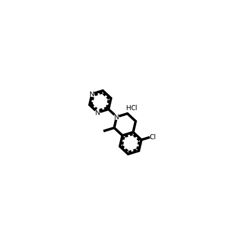 CC1c2cccc(Cl)c2CCN1c1ccncn1.Cl